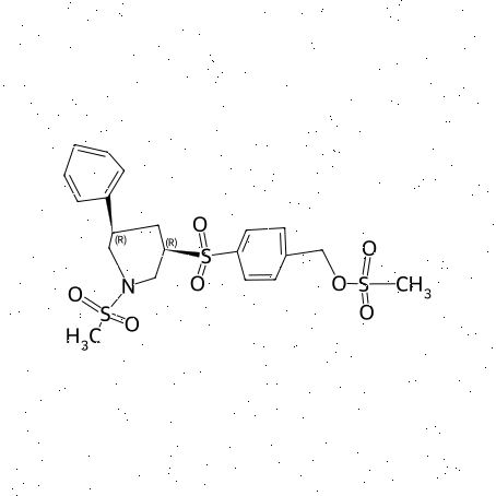 CS(=O)(=O)OCc1ccc(S(=O)(=O)[C@@H]2C[C@H](c3ccccc3)CN(S(C)(=O)=O)C2)cc1